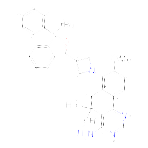 COc1ccc2c(c1N1CC(CO[Si](c3ccccc3)(c3ccccc3)C(C)(C)C)C1)CC(C)(C)c1c(N)ncnc1-2